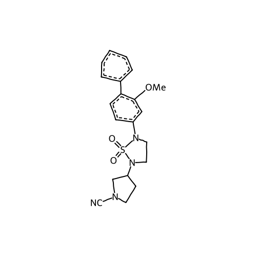 COc1cc(N2CCN(C3CCN(C#N)C3)S2(=O)=O)ccc1-c1ccccc1